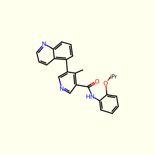 Cc1c(C(=O)Nc2ccccc2OC(C)C)cncc1-c1cccc2ncccc12